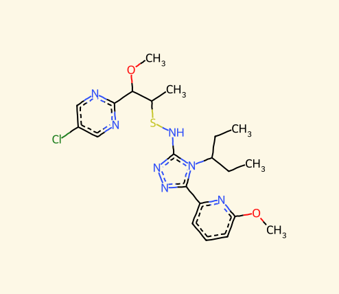 CCC(CC)n1c(NSC(C)C(OC)c2ncc(Cl)cn2)nnc1-c1cccc(OC)n1